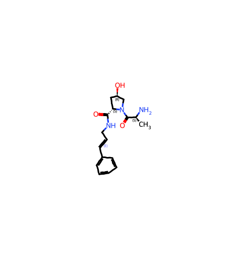 C[C@H](N)C(=O)N1C[C@H](O)C[C@H]1C(=O)NC/C=C/c1ccccc1